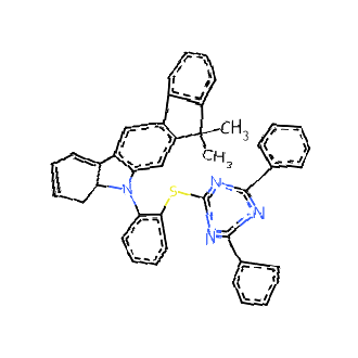 CC1(C)c2ccccc2-c2cc3c(cc21)N(c1ccccc1Sc1nc(-c2ccccc2)nc(-c2ccccc2)n1)C1CC=CC=C31